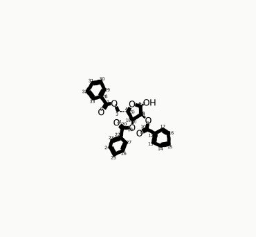 O=C(OC[C@@H]1O[C@H](O)[C@@H](OC(=O)c2ccccc2)[C@H]1OC(=O)c1ccccc1)c1ccccc1